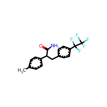 Cc1ccc(C(Cc2ccc(C(F)(F)C(F)(F)F)cc2)C(N)=O)cc1